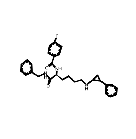 O=C(N[C@@H](CCCCNC1CC1c1ccccc1)C(=O)NCc1ccccc1)c1ccc(F)cc1